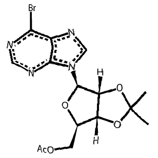 CC(=O)OC[C@H]1O[C@@H](n2cnc3c(Br)ncnc32)[C@@H]2OC(C)(C)O[C@@H]21